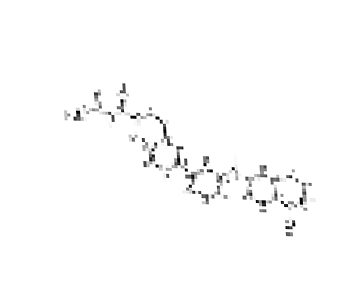 CC(OC(=O)N1CCc2cc(-c3nccc(Nc4ccc5c(c4)CCNC5=O)n3)ccc2C1)C(F)(F)F